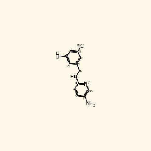 Nc1ccc(NCc2cc(Cl)cc(Cl)c2)nc1